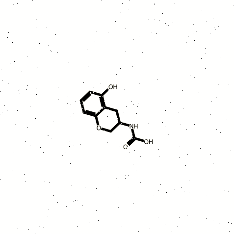 O=C(O)NC1COc2cccc(O)c2C1